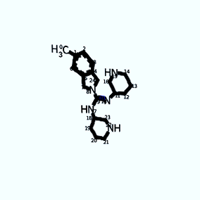 Cc1ccc2c(c1)CN(/C(=N\C1CCCNC1)NC1CCCNC1)C2